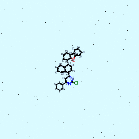 Clc1nc(C2=CCCC=C2)cc(-c2ccc(-c3cccc4c3oc3ccccc34)c3ccccc23)n1